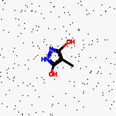 Cc1c(O)n[nH]c1O